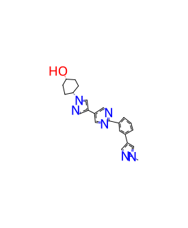 Cn1cc(-c2cccc(-c3ncc(-c4cnn([C@H]5CC[C@@H](O)CC5)c4)cn3)c2)cn1